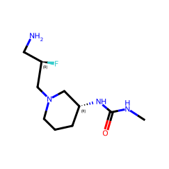 CNC(=O)N[C@@H]1CCCN(C[C@H](F)CN)C1